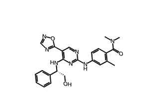 Cc1cc(Nc2ncc(-c3ncno3)c(N[C@H](CO)c3ccccc3)n2)ccc1C(=O)N(C)C